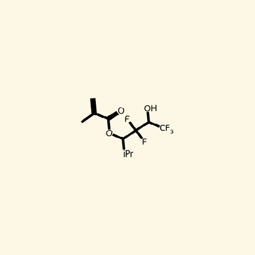 C=C(C)C(=O)OC(C(C)C)C(F)(F)C(O)C(F)(F)F